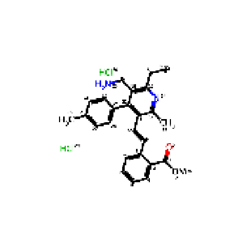 COC(=O)c1ccccc1C=Cc1c(C)nc(CC(C)C)c(CN)c1-c1ccc(C)cc1.Cl.Cl